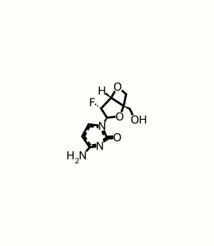 Nc1ccn([C@@H]2O[C@@]3(CO)CO[C@H]3[C@H]2F)c(=O)n1